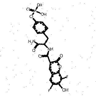 NC(=O)C(Cc1ccc(OP(=O)(O)O)cc1)NC(=O)c1cc2cc(F)c(O)c(F)c2oc1=O